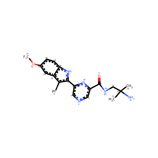 CC(C)c1c(-c2cncc(C(=O)NCC(C)(C)N)n2)[nH]c2ccc(OC(F)(F)F)cc12